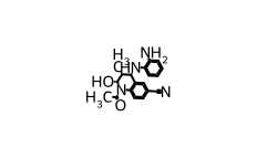 CC(=O)N1c2ccc(C#N)cc2[C@H](Nc2ccccc2N)[C@@H](C)[C@@H]1O